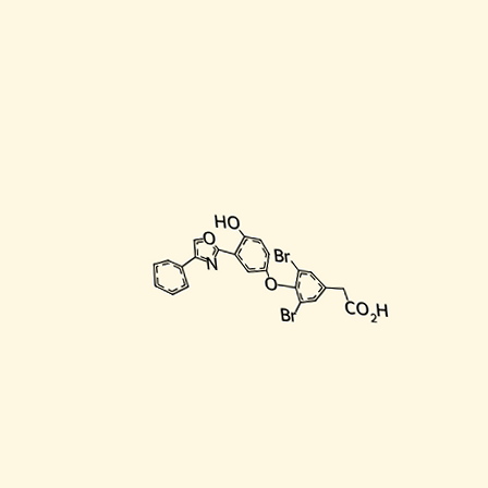 O=C(O)Cc1cc(Br)c(Oc2ccc(O)c(-c3nc(-c4ccccc4)co3)c2)c(Br)c1